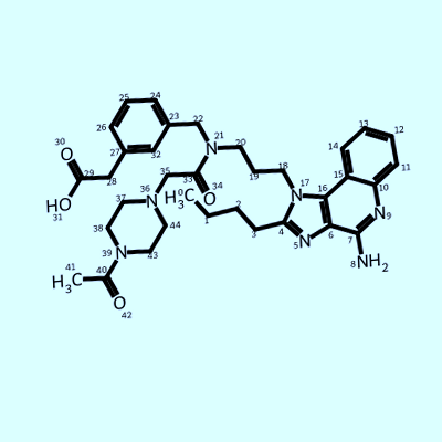 CCCCc1nc2c(N)nc3ccccc3c2n1CCCN(Cc1cccc(CC(=O)O)c1)C(=O)CN1CCN(C(C)=O)CC1